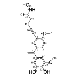 C=C(c1ccc(OC)c(C#CCCC(=O)NO)c1)c1cc(O)c(O)c(OC)c1